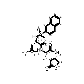 CC(C)C[C@H](NS(=O)(=O)c1ccc2ccccc2c1)C(=O)N[C@@H](C[C@@H]1CCNC1=O)C(N)=O